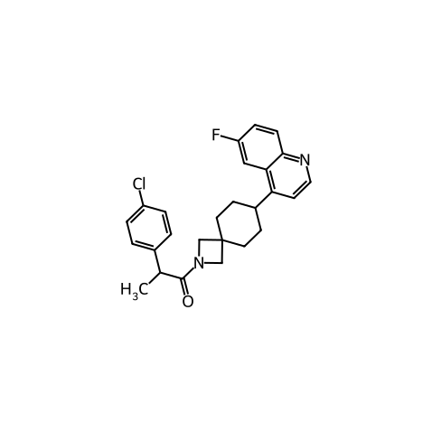 CC(C(=O)N1CC2(CCC(c3ccnc4ccc(F)cc34)CC2)C1)c1ccc(Cl)cc1